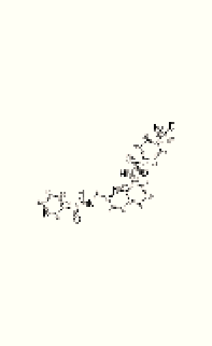 O=C(N/N=C/c1ccc2cccc(NS(=O)(=O)c3ccc(C(F)(F)F)cc3)c2n1)c1cccnc1